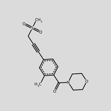 Cc1cc(C#CCS(C)(=O)=O)ccc1C(=O)N1CCOCC1